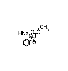 CCOC(=O)CS(=O)(=O)c1ccccc1.[NaH]